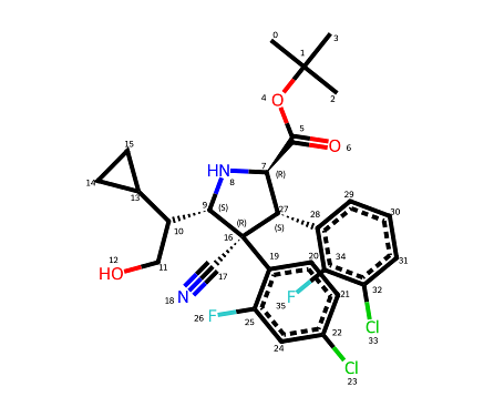 CC(C)(C)OC(=O)[C@@H]1N[C@@H](C(CO)C2CC2)[C@](C#N)(c2ccc(Cl)cc2F)[C@H]1c1cccc(Cl)c1F